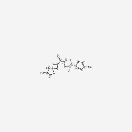 C[C@@H]1CN(C(=O)C2CC3(COC(=O)N3)C2)CC[C@@H]1c1ccc(C(C)(C)C)cc1